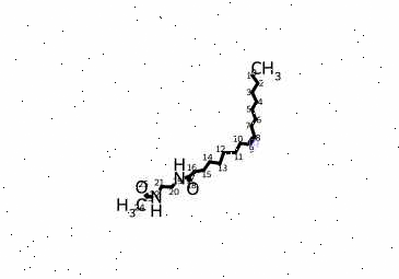 CCCCCCCC/C=C\CCCCCCCC(=O)NCCNC(C)=O